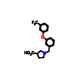 O=C(O)C1CCN(Cc2cccc(Oc3cccc(C(F)(F)F)c3)c2)C1